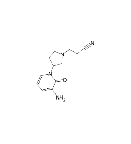 N#CCCN1CCC(n2cccc(N)c2=O)C1